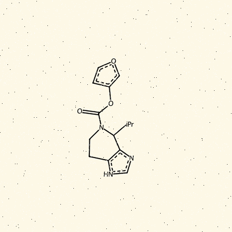 CC(C)C1c2nc[nH]c2CCN1C(=O)Oc1ccoc1